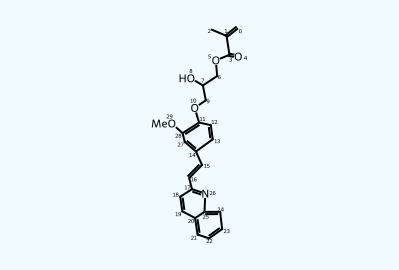 C=C(C)C(=O)OCC(O)COc1ccc(C=Cc2ccc3ccccc3n2)cc1OC